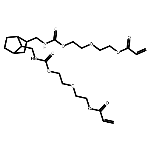 C=CC(=O)OCCOCCOC(=O)NCC1CC2CCC1C2CNC(=O)OCCOCCOC(=O)C=C